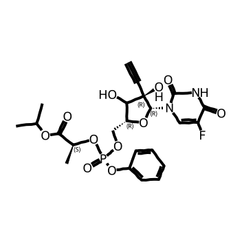 C#C[C@@]1(O)C(O)[C@@H](COP(=O)(Oc2ccccc2)O[C@@H](C)C(=O)OC(C)C)O[C@H]1n1cc(F)c(=O)[nH]c1=O